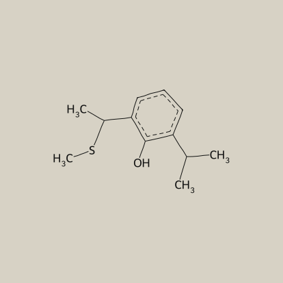 CSC(C)c1cccc(C(C)C)c1O